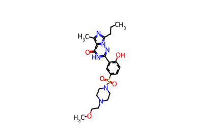 CCCc1nc(C)c2c(=O)[nH]c(-c3cc(S(=O)(=O)N4CCN(CCOC)CC4)ccc3O)nn12